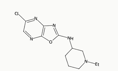 CCN1CCCC(Nc2nc3nc(Cl)cnc3o2)C1